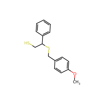 COc1ccc(CSC(CS)c2ccccc2)cc1